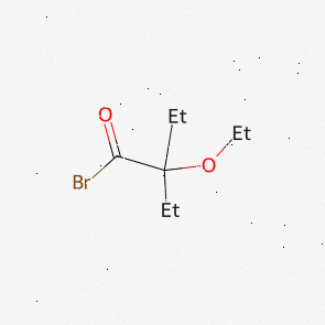 CCOC(CC)(CC)C(=O)Br